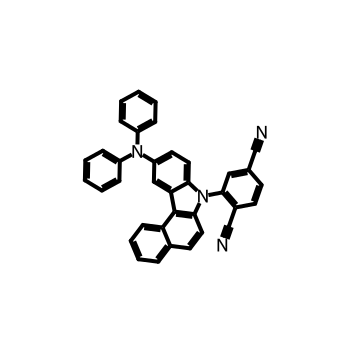 N#Cc1ccc(C#N)c(-n2c3ccc(N(c4ccccc4)c4ccccc4)cc3c3c4ccccc4ccc32)c1